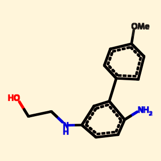 COc1ccc(-c2cc(NCCO)ccc2N)cc1